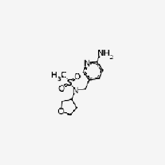 CS(=O)(=O)N(Cc1ccc(N)nc1)C1CCOC1